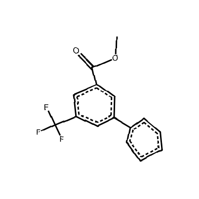 COC(=O)c1cc(-c2ccccc2)cc(C(F)(F)F)c1